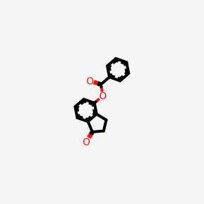 O=C(Oc1cccc2c1CCC2=O)c1ccccc1